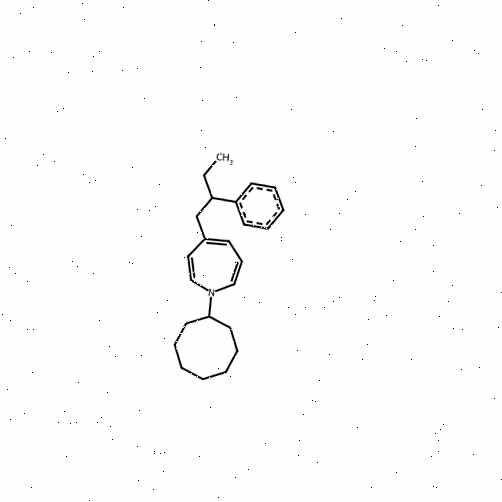 CCC(CC1=CC=CN(C2CCCCCCC2)C=C1)c1ccccc1